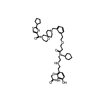 O=C1COc2c(CCNCCN(C(=O)CCOCCc3cccc(CN4CCC5(CC4)CN(C(=O)c4csc(C6CCCC6)n4)CCO5)c3)C3CCCCC3)ccc(O)c2N1